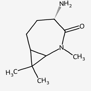 CN1C(=O)[C@@H](N)CCC2C1C2(C)C